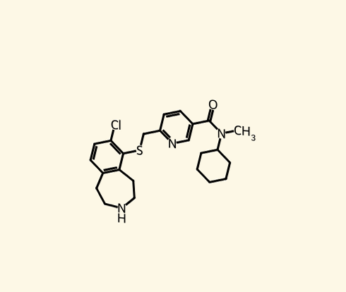 CN(C(=O)c1ccc(CSc2c(Cl)ccc3c2CCNCC3)nc1)C1CCCCC1